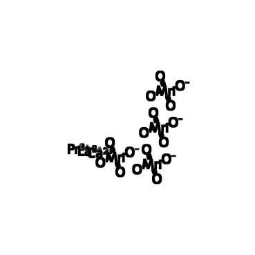 [Ca+2].[La+3].[O]=[Mn](=[O])([O-])[O-].[O]=[Mn](=[O])([O-])[O-].[O]=[Mn](=[O])([O-])[O-].[O]=[Mn](=[O])([O-])[O-].[Pr+3]